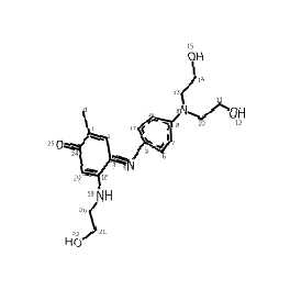 CC1=CC(=Nc2ccc(N(CCO)CCO)cc2)C(NCCO)=CC1=O